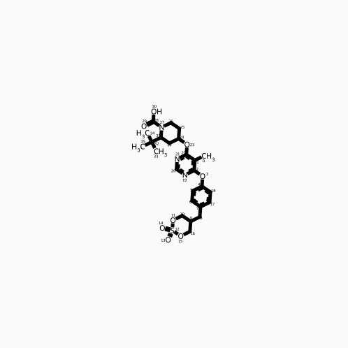 Cc1c(Oc2ccc(CC3COS(=O)(=O)OC3)cc2)ncnc1OC1CCN(C(=O)O)C(C(C)(C)C)C1